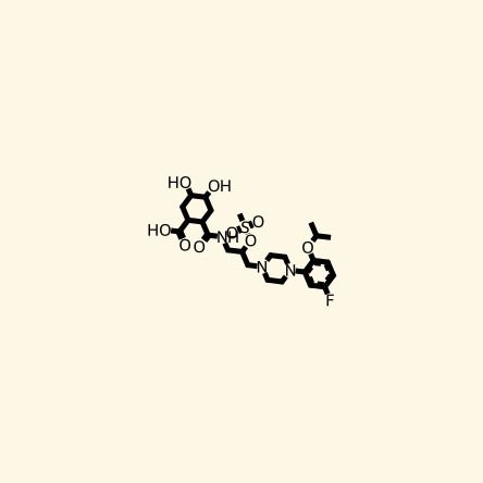 CC(C)Oc1ccc(F)cc1N1CCN(CC(CNC(=O)C2CC(O)C(O)CC2C(=O)O)OS(C)(=O)=O)CC1